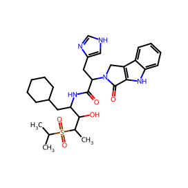 CC(C)S(=O)(=O)C(C)C(O)C(CC1CCCCC1)NC(=O)C(Cc1c[nH]cn1)N1Cc2c([nH]c3ccccc23)C1=O